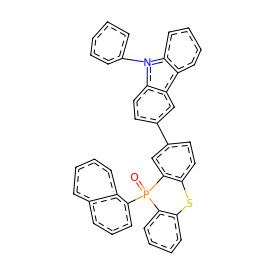 O=P1(c2cccc3ccccc23)c2ccccc2Sc2ccc(-c3ccc4c(c3)c3ccccc3n4-c3ccccc3)cc21